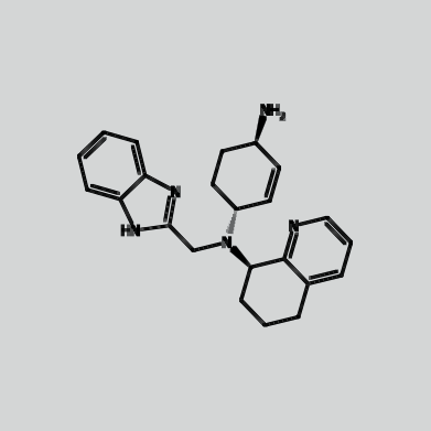 N[C@H]1C=C[C@H](N(Cc2nc3ccccc3[nH]2)[C@@H]2CCCc3cccnc32)CC1